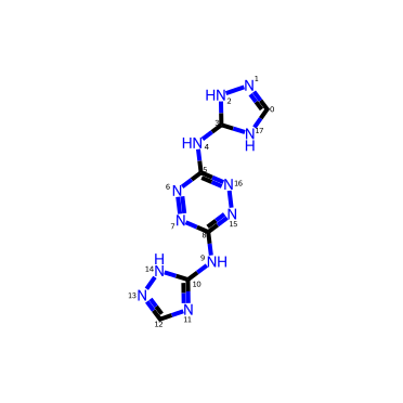 C1=NNC(Nc2nnc(Nc3ncn[nH]3)nn2)N1